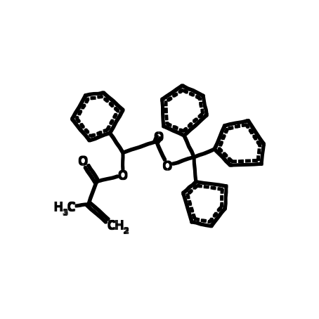 C=C(C)C(=O)OC(C(=O)OC(c1ccccc1)(c1ccccc1)c1ccccc1)c1ccccc1